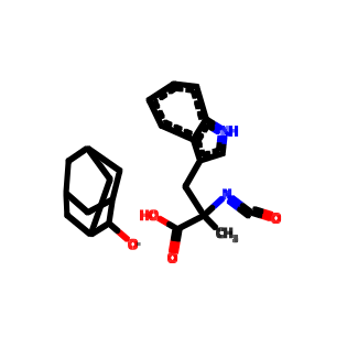 CC(Cc1c[nH]c2ccccc12)(N=C=O)C(=O)O.[O]C1C2CC3CC(C2)CC1C3